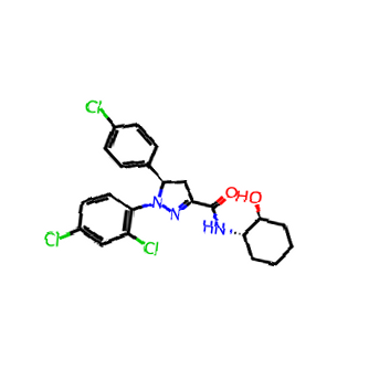 O=C(N[C@H]1CCCC[C@@H]1O)C1=NN(c2ccc(Cl)cc2Cl)[C@@H](c2ccc(Cl)cc2)C1